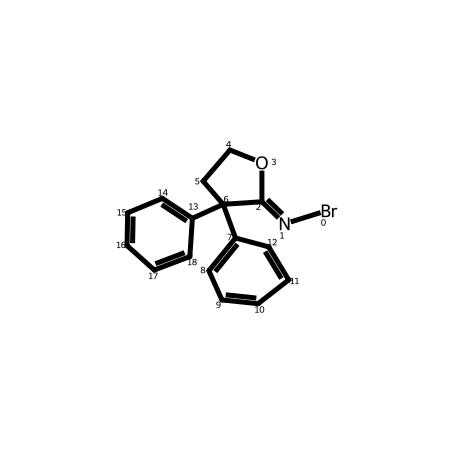 BrN=C1OCCC1(c1ccccc1)c1ccccc1